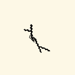 CCCCCCCC(CCCC)CCCCN1CCC(OCCCC(CCCC)CCCC)CC1